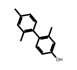 Cc1ccc(-c2ccc(O)cc2C)c(C)c1